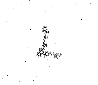 N[C@@H](CCCN1CCC(Nc2nc(NCc3cn(CCCNCCCNC4CCCCC4)nn3)nc3ccccc23)CC1)C(=O)O